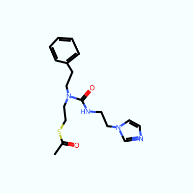 CC(=O)SCCN(CCc1ccccc1)C(=O)NCCn1ccnc1